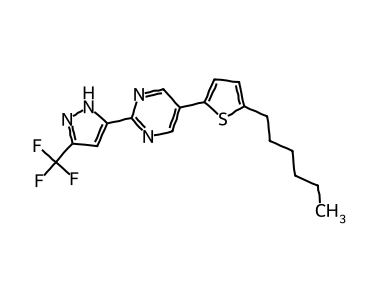 CCCCCCc1ccc(-c2cnc(-c3cc(C(F)(F)F)n[nH]3)nc2)s1